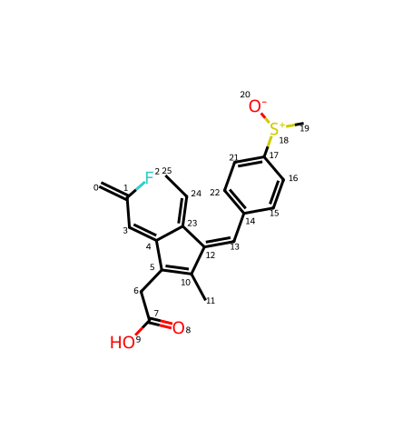 C=C(F)/C=C1C(CC(=O)O)=C(C)C(=C/c2ccc([S+](C)[O-])cc2)/C/1=C/C